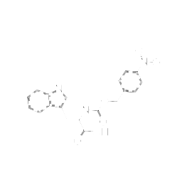 O=C(N[C@@H](Cc1c[nH]c2ccccc12)C(=O)O)OCc1ccc([N+](=O)[O-])cc1